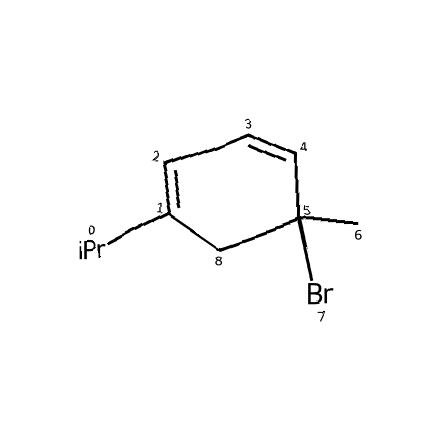 CC(C)C1=CC=CC(C)(Br)C1